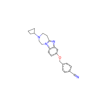 N#Cc1ccc(COc2ccc3c(c2)nc2n3CCN(C3CCC3)CC2)cc1